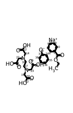 CCOC(=O)c1ccccc1.O=C(O)CN(CCN(CC(=O)O)CC(=O)O)CC(=O)O.[Na+].[O-]c1ccccc1